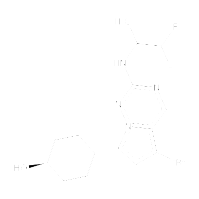 CC(Nc1ncc2c(Br)cc([C@H]3CC[C@H](O)CC3)n2n1)C(F)F